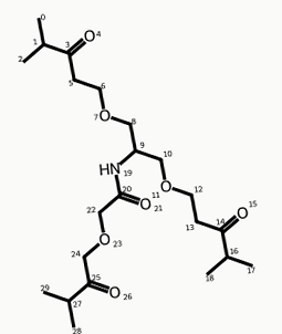 CC(C)C(=O)CCOCC(COCCC(=O)C(C)C)NC(=O)COCC(=O)C(C)C